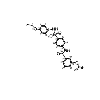 CCOc1ccc(NS(=O)(=O)c2ccc(NC(=O)c3cccc(OC(F)F)c3)cc2)cc1